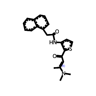 C/C(=C\C(=O)c1sccc1NC(=O)Cc1cccc2ccccc12)N(C)C